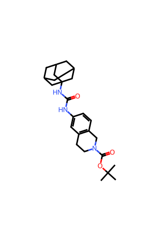 CC(C)(C)OC(=O)N1CCc2cc(NC(=O)NC34CC5CC(CC(C5)C3)C4)ccc2C1